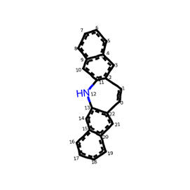 C1=Cc2cc3ccccc3cc2Nc2cc3ccccc3cc21